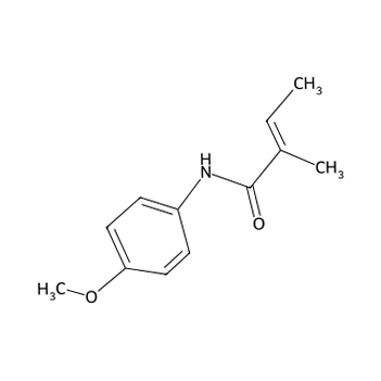 CC=C(C)C(=O)Nc1ccc(OC)cc1